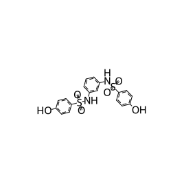 O=S(=O)(Nc1cccc(NS(=O)(=O)c2ccc(O)cc2)c1)c1ccc(O)cc1